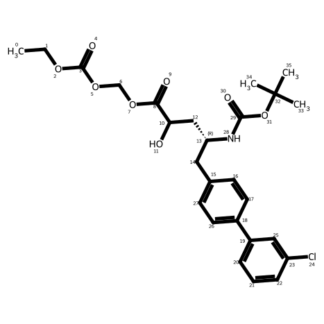 CCOC(=O)OCOC(=O)C(O)C[C@@H](Cc1ccc(-c2cccc(Cl)c2)cc1)NC(=O)OC(C)(C)C